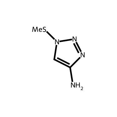 CSn1cc(N)nn1